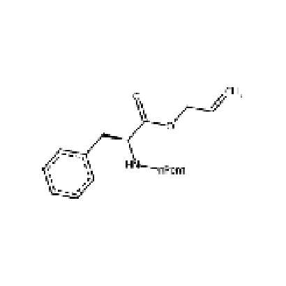 C=CCOC(=O)[C@H](Cc1ccccc1)NCCCCC